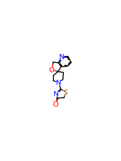 O=C1CSC(N2CCC3(CC2)OCc2ncccc23)=N1